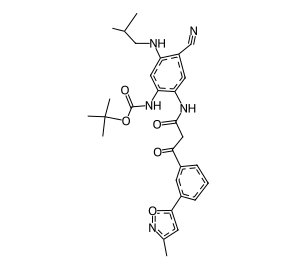 Cc1cc(-c2cccc(C(=O)CC(=O)Nc3cc(C#N)c(NCC(C)C)cc3NC(=O)OC(C)(C)C)c2)on1